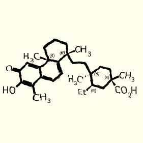 CC[C@@H]1C[C@](C)(C(=O)O)CC[C@]1(C)CC[C@@]1(C)CCC[C@@]2(C)C3=CC(=O)C(O)=C(C)C3=CC=C12